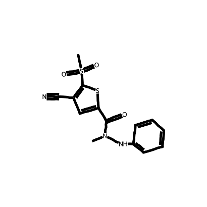 CN(Nc1ccccc1)C(=O)c1cc(C#N)c(S(C)(=O)=O)s1